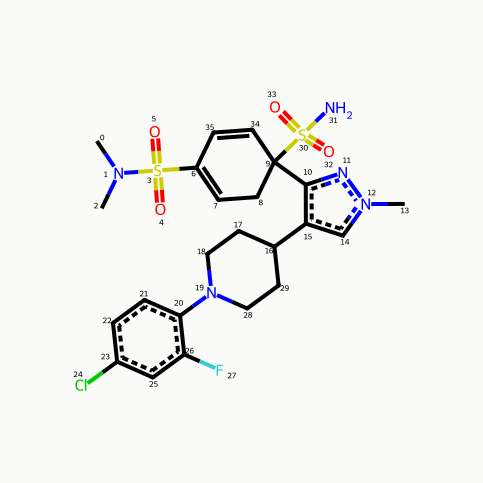 CN(C)S(=O)(=O)C1=CCC(c2nn(C)cc2C2CCN(c3ccc(Cl)cc3F)CC2)(S(N)(=O)=O)C=C1